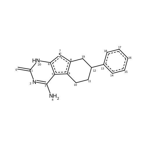 C=C1N=C(N)c2c(sc3c2CCC(c2ccccc2)C3)N1